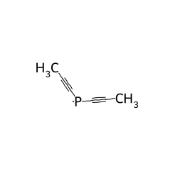 CC#C[P]C#CC